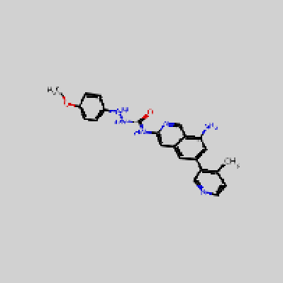 COc1ccc(NNC(=O)Nc2cc3cc(-c4cnccc4C)cc(N)c3cn2)cc1